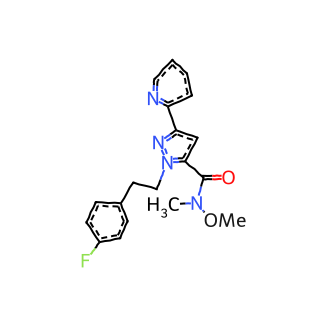 CON(C)C(=O)c1cc(-c2ccccn2)nn1CCc1ccc(F)cc1